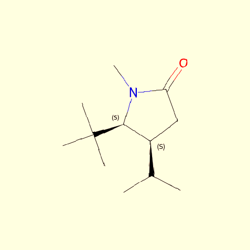 CC(C)[C@@H]1CC(=O)N(C)[C@@H]1C(C)(C)C